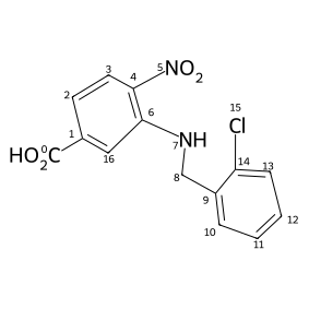 O=C(O)c1ccc([N+](=O)[O-])c(NCc2ccccc2Cl)c1